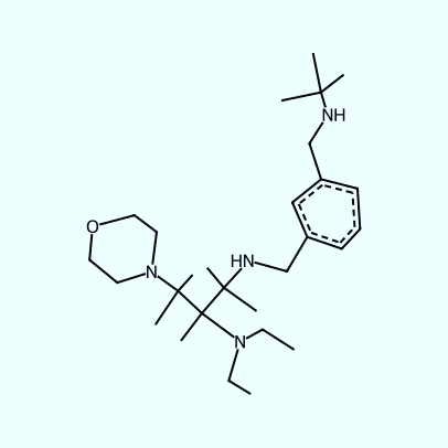 CCN(CC)C(C)(C(C)(C)NCc1cccc(CNC(C)(C)C)c1)C(C)(C)N1CCOCC1